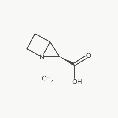 C.O=C(O)[C@@H]1C2CCN21